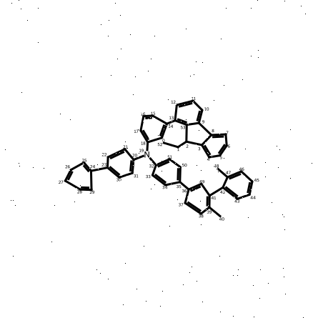 CCC1c2ccccc2-c2cccc(-c3cccc(N(c4ccc(-c5ccccc5)cc4)c4ccc(-c5ccc(C)c(-c6ccccc6C)c5)cc4)c3)c21